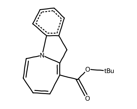 CC(C)(C)OC(=O)C1=C2Cc3ccccc3N2C=CC=C1